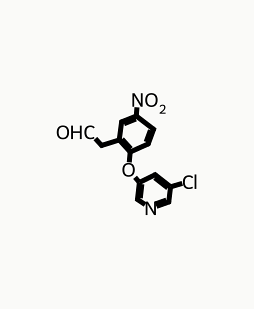 O=CCc1cc([N+](=O)[O-])ccc1Oc1cncc(Cl)c1